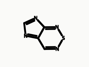 c1nc2cnsnc-2n1